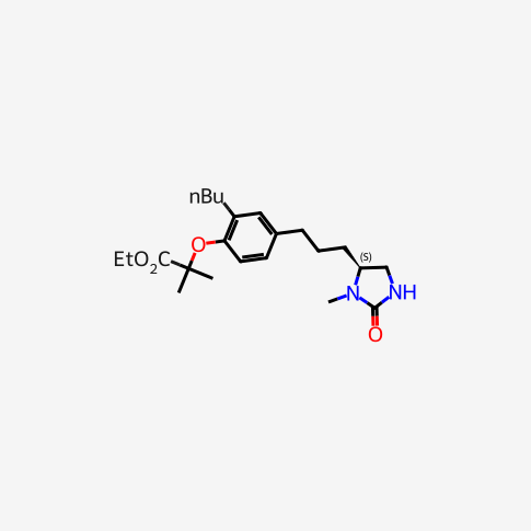 CCCCc1cc(CCC[C@H]2CNC(=O)N2C)ccc1OC(C)(C)C(=O)OCC